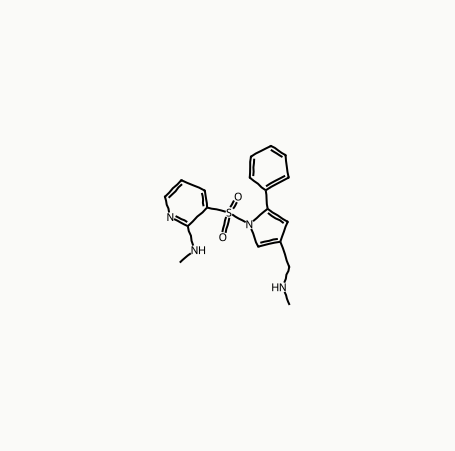 CNCc1cc(-c2ccccc2)n(S(=O)(=O)c2cccnc2NC)c1